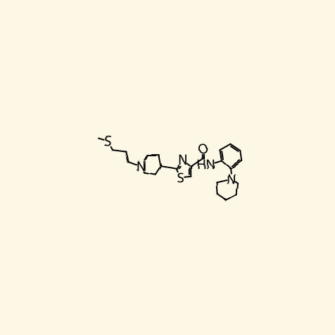 CSCCCN1CCC(c2nc(C(=O)Nc3ccccc3N3CCCCC3)cs2)CC1